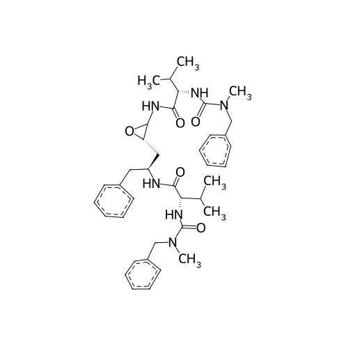 CC(C)[C@H](NC(=O)N(C)Cc1ccccc1)C(=O)NC1O[C@H]1C[C@H](Cc1ccccc1)NC(=O)[C@@H](NC(=O)N(C)Cc1ccccc1)C(C)C